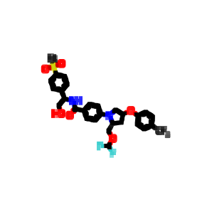 CCS(=O)(=O)c1ccc(C(CO)NC(=O)c2ccc(N3C[C@@H](Oc4ccc(C(F)(F)F)cc4)C[C@H]3COC(F)F)cc2)cc1